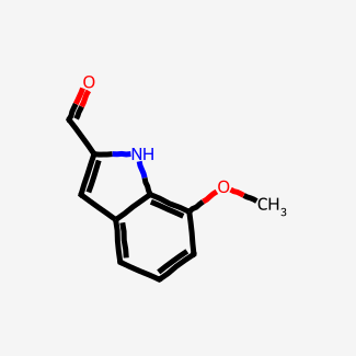 COc1cccc2cc(C=O)[nH]c12